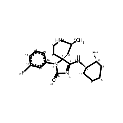 C[C@H]1C[C@]2(CCN1)C(N[C@@H]1CCCC[C@H]1F)=NC(=O)N2c1cccc(F)c1